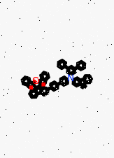 CC1(C)c2ccccc2-c2cc(N(c3ccc(-c4ccc(-c5ccc6c(c5)C5(c7ccccc7-6)c6ccc7ccccc7c6Oc6c5ccc5ccccc65)cc4)cc3)c3cc(-c4ccccc4)cc(-c4ccccc4)c3)ccc21